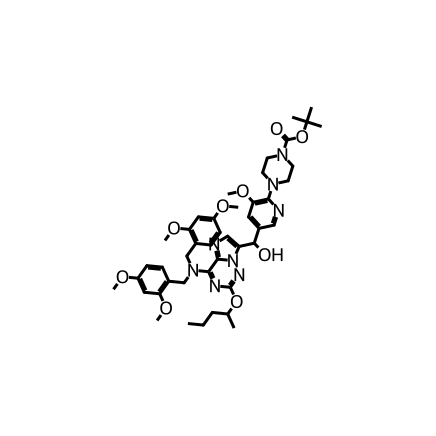 CCCC(C)Oc1nc(N(Cc2ccc(OC)cc2OC)Cc2ccc(OC)cc2OC)c2ncc(C(O)c3cnc(N4CCN(C(=O)OC(C)(C)C)CC4)c(OC)c3)n2n1